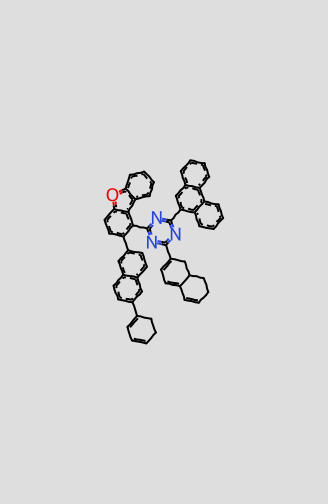 C1=CCCC(c2ccc3cc(-c4ccc5oc6ccccc6c5c4-c4nc(C5=CC=C6C=CCCC6C5)nc(-c5cc6ccccc6c6ccccc56)n4)ccc3c2)=C1